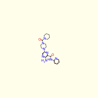 Nc1ncc(N2CCN(C(=O)N3CCCCC3)CC2)nc1C(=O)Nc1ccccn1